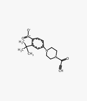 C#CC(=O)N1CCN(c2ccc([N+](=O)[O-])c(C(C)(C)C)c2)CC1